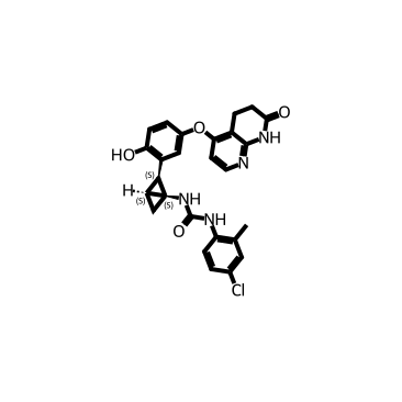 Cc1cc(Cl)ccc1NC(=O)N[C@@]12C[C@H]1[C@H]2c1cc(Oc2ccnc3c2CCC(=O)N3)ccc1O